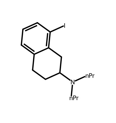 CCCN(CCC)C1CCc2cccc(I)c2C1